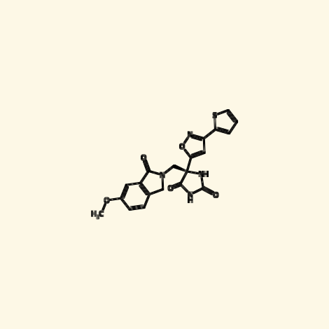 COc1ccc2c(c1)C(=O)N(C[C@@]1(c3cc(-c4cccs4)no3)NC(=O)NC1=O)C2